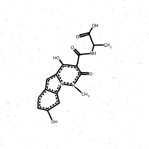 CC(NC(=O)c1c(O)c2cc3ccc(O)cc3n2n(C)c1=O)C(=O)O